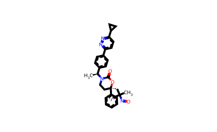 C[C@@H](c1ccc(-c2ccc(C3CC3)nn2)cc1)N1CC[C@](CC(C)(C)N=O)(c2ccccc2)OC1=O